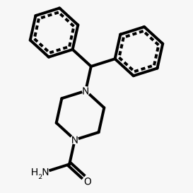 NC(=O)N1CCN(C(c2ccccc2)c2ccccc2)CC1